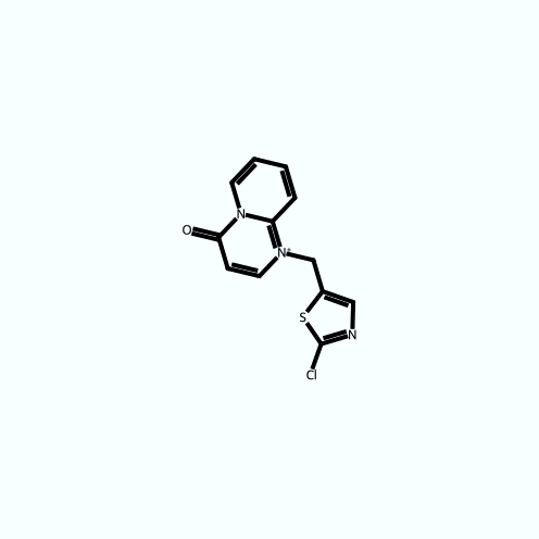 O=c1cc[n+](Cc2cnc(Cl)s2)c2ccccn12